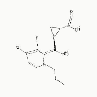 CCCN1C=CC(Cl)=C(F)/C1=C(/N)[C@H]1C[C@@H]1C(=O)O